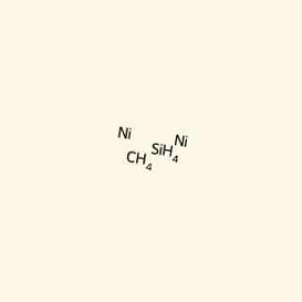 C.[Ni].[Ni].[SiH4]